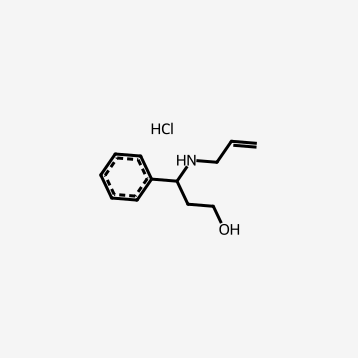 C=CCNC(CCO)c1ccccc1.Cl